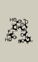 COCCN(CC(=O)N1CCCC1=C=O)CC(=O)N1CCC[C@@H]1C(=O)O.O=C(O)C(F)(F)F